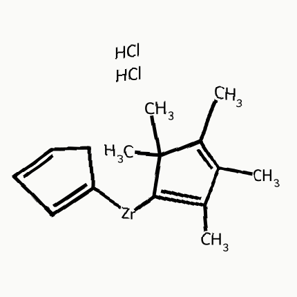 CC1=C(C)C(C)(C)[C]([Zr][C]2=CC=CC2)=C1C.Cl.Cl